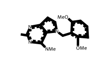 CNc1nc(C)nc2ccn(Cc3c(OC)cccc3OC)c12